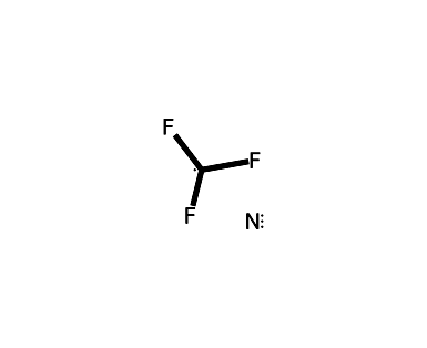 F[C](F)F.[N]